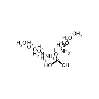 N.N.N.O.O.O.O.O.O.O.O.OB(O)O